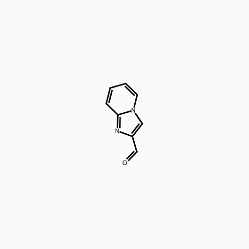 O=[C]c1cn2ccccc2n1